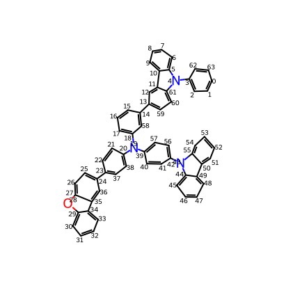 c1ccc(-n2c3ccccc3c3cc(-c4cccc(N(c5ccc(-c6ccc7oc8ccccc8c7c6)cc5)c5ccc(-n6c7ccccc7c7ccccc76)cc5)c4)ccc32)cc1